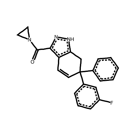 O=C(c1n[nH]c2c1C=CC(c1ccccc1)(c1cccc(F)c1)C2)N1CC1